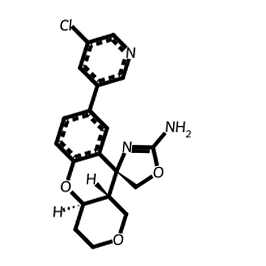 NC1=N[C@@]2(CO1)c1cc(-c3cncc(Cl)c3)ccc1O[C@@H]1CCOC[C@H]12